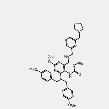 CCCCOc1nc(CNCc2cccc(CN3CCCC3)c2)c(NC(=O)OC(C)(C)C)c(N(Cc2ccc(OC)cc2)Cc2ccc(OC)cc2)n1